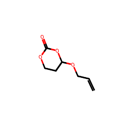 C=CCOC1CCOC(=O)O1